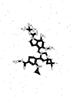 COC(=O)c1ccc(C2=CC3(CCN2Cc2c(OC)cc(C)c4c2ccn4C(=O)OC(C)(C)C)CC(F)(F)C3)c(NC2CC2)c1